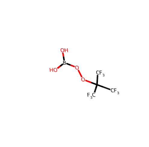 OB(O)OOC(C(F)(F)F)(C(F)(F)F)C(F)(F)F